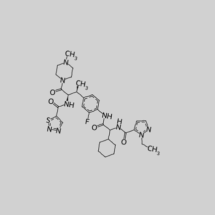 CCn1nccc1C(=O)NC(C(=O)Nc1ccc([C@H](C)[C@@H](NC(=O)c2cnns2)C(=O)N2CCN(C)CC2)cc1F)C1CCCCC1